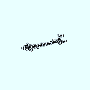 CNCCP(=O)(O)OCC(O)COCCOCCOCCOCCOP(=O)(O)C(C)C